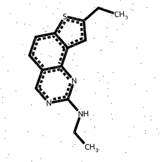 CCNc1ncc2ccc3sc(CC)cc3c2n1